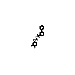 Cc1cc(NC(=O)NC(C)(C)c2cccc(-c3ccccc3)c2)ccc1Cl